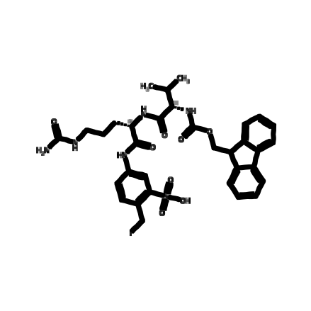 CC(C)[C@H](NC(=O)OCC1c2ccccc2-c2ccccc21)C(=O)N[C@@H](CCCNC(N)=O)C(=O)Nc1ccc(CI)c(S(=O)(=O)O)c1